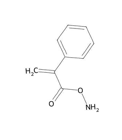 C=C(C(=O)ON)c1ccccc1